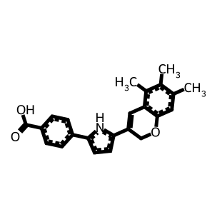 Cc1cc2c(c(C)c1C)C=C(c1ccc(-c3ccc(C(=O)O)cc3)[nH]1)CO2